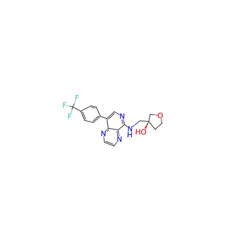 O[C@]1(CNc2ncc(-c3ccc(C(F)(F)F)cc3)c3nccnc23)CCOC1